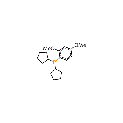 COc1ccc(P(C2CCCC2)C2CCCC2)c(OC)c1